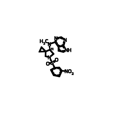 CN(c1ncnc2[nH]ccc12)[C@H]1CN(S(=O)(=O)c2cccc([N+](=O)[O-])c2)CC12CC2